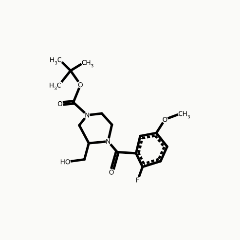 COc1ccc(F)c(C(=O)N2CCN(C(=O)OC(C)(C)C)CC2CO)c1